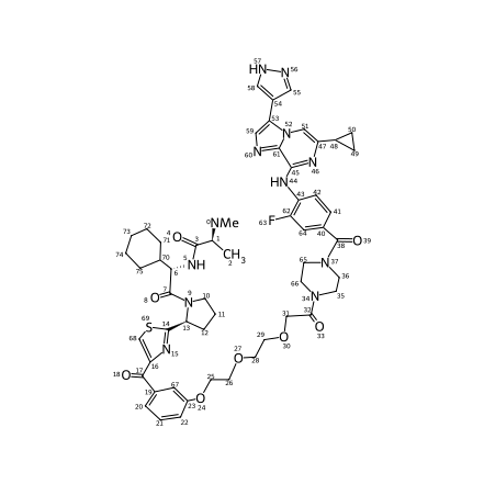 CN[C@@H](C)C(=O)N[C@H](C(=O)N1CCC[C@H]1c1nc(C(=O)c2cccc(OCCOCCOCC(=O)N3CCN(C(=O)c4ccc(Nc5nc(C6CC6)cn6c(-c7cn[nH]c7)cnc56)c(F)c4)CC3)c2)cs1)C1CCCCC1